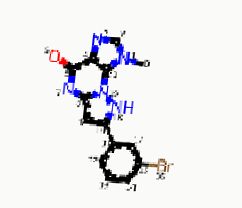 Cn1cnc2c(=O)nc3cc(-c4cccc(Br)c4)[nH]n3c21